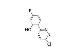 Oc1cc(F)ccc1-c1ccc(Cl)nn1